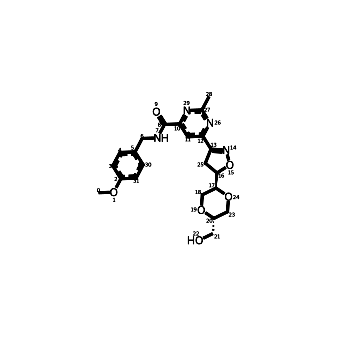 COc1ccc(CNC(=O)c2cc(C3=NOC([C@@H]4CO[C@@H](CO)CO4)C3)nc(C)n2)cc1